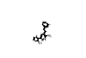 Nc1nnc(-c2ccccc2O)cc1CCc1ccncc1